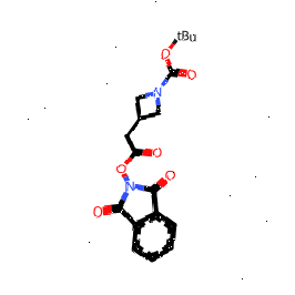 CC(C)(C)OC(=O)N1CC(CC(=O)ON2C(=O)c3ccccc3C2=O)C1